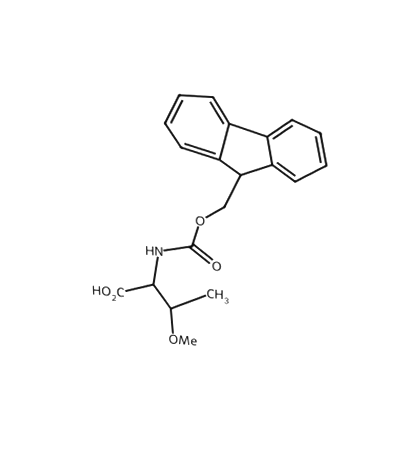 COC(C)C(NC(=O)OCC1c2ccccc2-c2ccccc21)C(=O)O